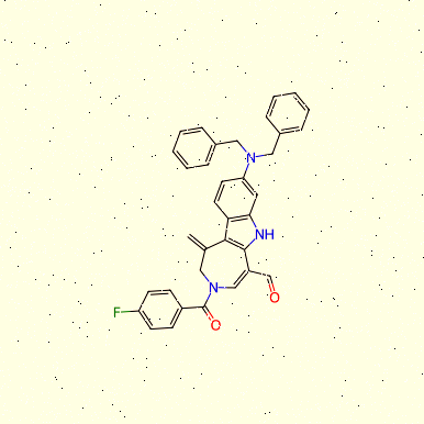 C=C1CN(C(=O)c2ccc(F)cc2)C=C(C=O)c2[nH]c3cc(N(Cc4ccccc4)Cc4ccccc4)ccc3c21